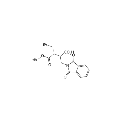 CC(C)C[C@@H](C(=O)OC(C)(C)C)C(CN1C(=O)c2ccccc2C1=O)C(=O)O